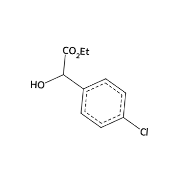 CCOC(=O)C(O)c1ccc(Cl)cc1